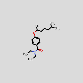 CCN(CC)C(=O)c1ccc(OC(C)CCCC(C)C)cc1